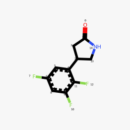 O=C1CC(c2cc(F)cc(F)c2F)CN1